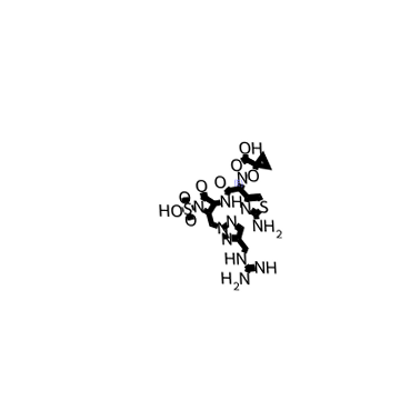 N=C(N)NCc1cnn(CC2C(NC(=O)/C(=N/OC3(C(=O)O)CC3)c3csc(N)n3)C(=O)N2S(=O)(=O)O)n1